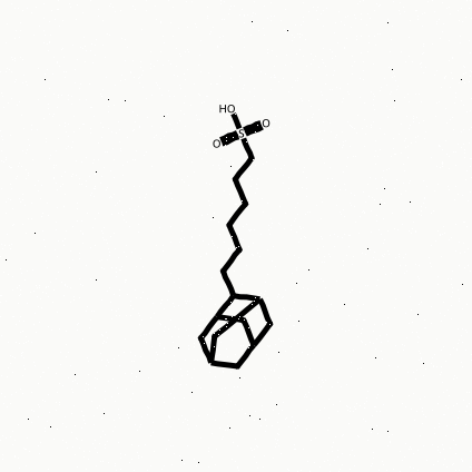 O=S(=O)(O)CCCCCCC1C2CC3CC(C2)CC1C3